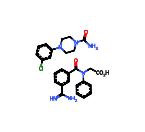 N=C(N)c1cccc(C(=O)N(CC(=O)O)c2ccccc2)c1.NC(=O)N1CCN(c2cccc(Cl)c2)CC1